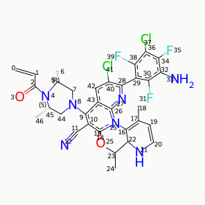 C=CC(=O)N1[C@H](C)CN(c2c(C#N)c(=O)n(C3=C(C)C=CNC3C(C)C)c3nc(-c4c(F)c(N)c(F)c(Cl)c4F)c(Cl)cc23)C[C@@H]1C